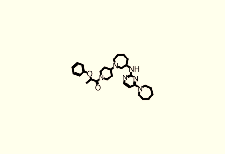 CC(Oc1ccccc1)C(=O)N1CCC(N2CCCCC(Nc3nccc(N4CCCCCC4)n3)C2)CC1